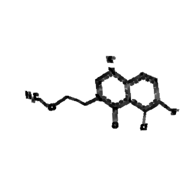 COCCn1cnc2ccc([S-])c(Cl)c2c1=O.[K+]